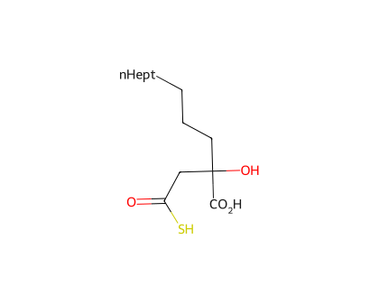 CCCCCCCCCCC(O)(CC(=O)S)C(=O)O